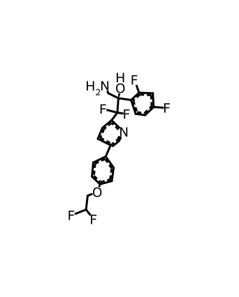 NC[C@](O)(c1ccc(F)cc1F)C(F)(F)c1ccc(-c2ccc(OCC(F)F)cc2)cn1